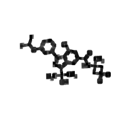 CC1(NC(=O)c2cc(Cl)c3c(c2)c(C(C)(C)O)nn3-c2cccc(OC(F)F)c2)CS(=O)(=O)C1